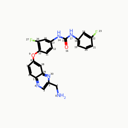 NCc1cnc2ccc(Oc3ccc(NC(=O)Nc4cccc(F)c4)cc3F)cc2n1